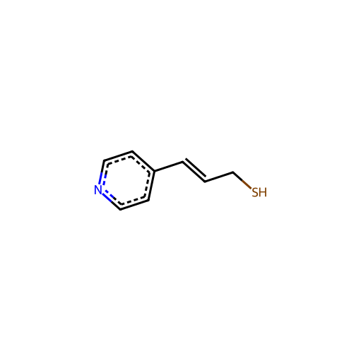 SCC=Cc1ccncc1